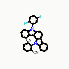 N#Cc1cccc(C#N)c1-n1c2ccccc2c2ccc3c(c4ccccc4n3-c3cc(F)ccc3F)c21